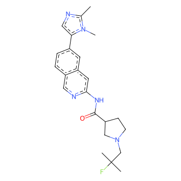 Cc1ncc(-c2ccc3cnc(NC(=O)C4CCN(CC(C)(C)F)C4)cc3c2)n1C